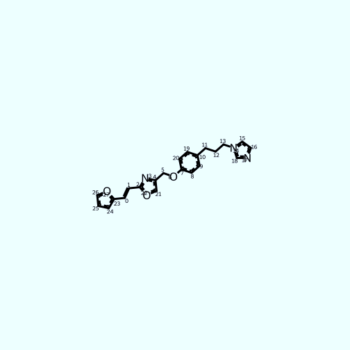 C(=C\c1nc(COc2ccc(CCCn3ccnc3)cc2)co1)/c1ccco1